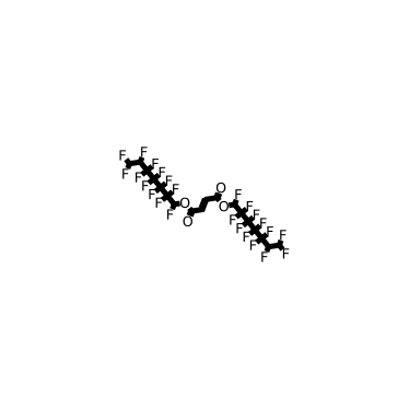 O=C(C=CC(=O)OC(F)C(F)(F)C(F)(F)C(F)(F)C(F)(F)C(F)C(F)F)OC(F)C(F)(F)C(F)(F)C(F)(F)C(F)(F)C(F)C(F)F